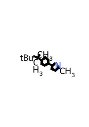 Cc1ccc(-c2ccc(C(C)(C)CC(C)(C)C)cc2)cn1